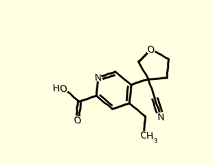 CCc1cc(C(=O)O)ncc1C1(C#N)CCOC1